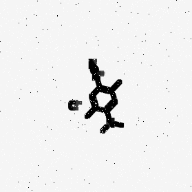 Cc1cc(N(C)C)c(C)cc1[N+]#N.[Cl-]